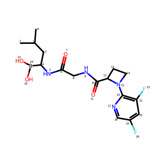 CC(C)CC(NC(=O)CNC(=O)C1CCN1c1ncc(F)cc1F)B(O)O